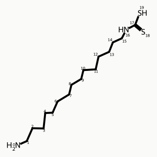 NCCCCCCCCCCCCCCCNC(=S)S